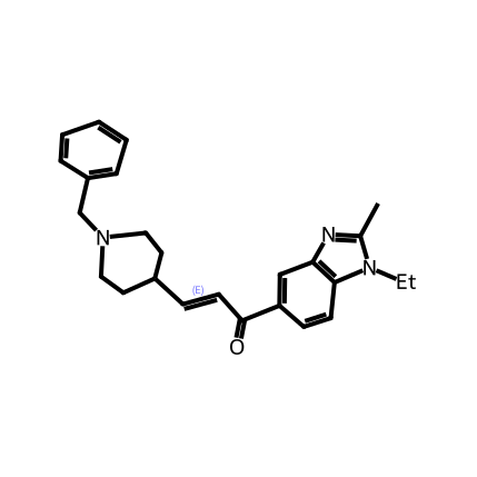 CCn1c(C)nc2cc(C(=O)/C=C/C3CCN(Cc4ccccc4)CC3)ccc21